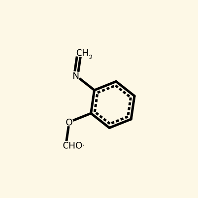 C=Nc1ccccc1O[C]=O